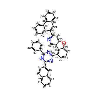 c1ccc(-c2nc(-c3ccc4ccccc4c3)nc(-c3cccc4oc5cc(-c6cc7ccccc7c7ccccc67)ncc5c34)n2)cc1